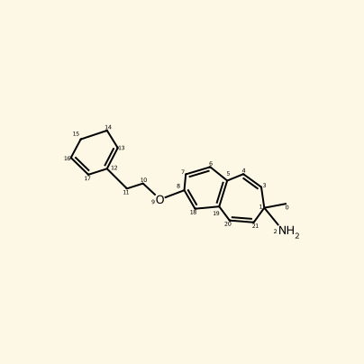 CC1(N)C=Cc2ccc(OCCC3=CCCC=C3)cc2C=C1